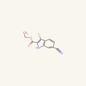 CCOC(=O)c1[nH]c2cc(C#N)ccc2c1F